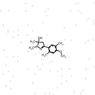 COc1cc(C)c(C2=NN(C)C(C)(O)C2)cc1C